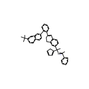 C/C(=N\C(C)(C1=CC=CC1)c1ccc2c(c1)CCC(c1ccccc1-c1ccc3ccc(C(C)(C)C)cc3c1)=C2)c1ccccc1